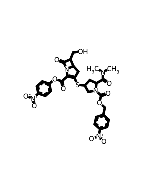 CN(C)C(=O)C1CC(SC2=C(C(=O)Oc3ccc([N+](=O)[O-])cc3)N3C(=O)C(CO)C3C2)CN1C(=O)OCc1ccc([N+](=O)[O-])cc1